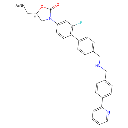 CC(=O)NC[C@H]1CN(c2ccc(-c3ccc(CNCc4ccc(-c5ccccn5)cc4)cc3)c(F)c2)C(=O)O1